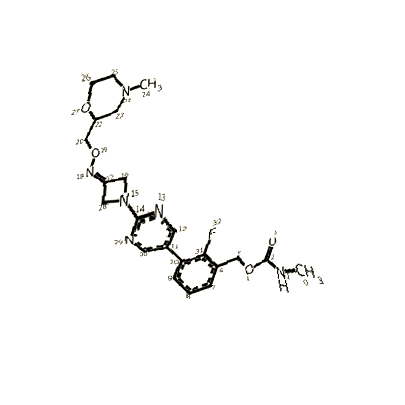 CNC(=O)OCc1cccc(-c2cnc(N3CC(=NOCC4CN(C)CCO4)C3)nc2)c1F